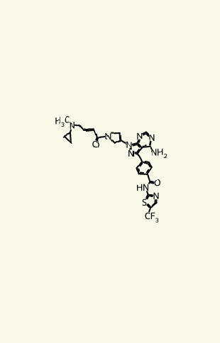 CN(CC=CC(=O)N1CCC(n2nc(-c3ccc(C(=O)Nc4ncc(C(F)(F)F)s4)cc3)c3c(N)ncnc32)C1)C1CC1